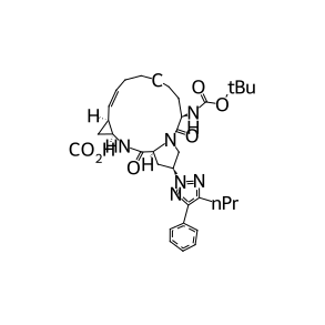 CCCc1nn([C@H]2C[C@H]3C(=O)N[C@@]4(C(=O)O)C[C@H]4/C=C\CCCCC[C@@H](NC(=O)OC(C)(C)C)C(=O)N3C2)nc1-c1ccccc1